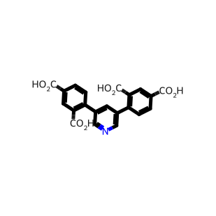 O=C(O)c1ccc(-c2cncc(-c3ccc(C(=O)O)cc3C(=O)O)c2)c(C(=O)O)c1